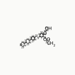 C=CC(=O)OCc1cc(CCc2ccc(C3CCC(C4CCCCC4)CC3)cc2)ccc1OCCO